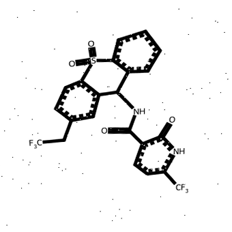 O=C(NC1c2ccccc2S(=O)(=O)c2ccc(CC(F)(F)F)cc21)c1ccc(C(F)(F)F)[nH]c1=O